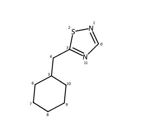 c1nsc(CC2CCCCC2)n1